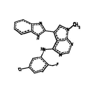 Cn1cc(-c2nc3ccccc3[nH]2)c2c(Nc3cc(Cl)ccc3F)ncnc21